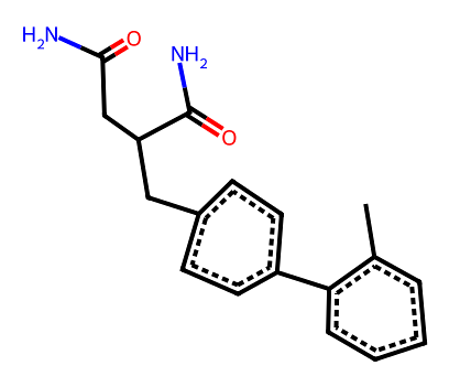 Cc1ccccc1-c1ccc(CC(CC(N)=O)C(N)=O)cc1